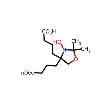 CCCCCCCCCCCCCC1(CCCC(=O)O)COC(C)(C)N1O